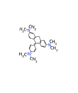 CN(C)c1ccc2c(c1)Cc1cc(N(C)C)ccc1C2=C1C=CC(=[N+](C)C)C=C1